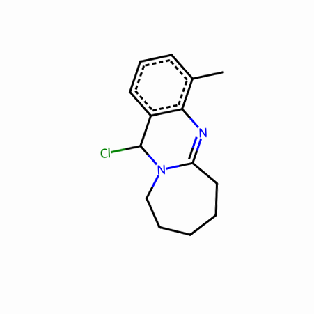 Cc1cccc2c1N=C1CCCCCN1C2Cl